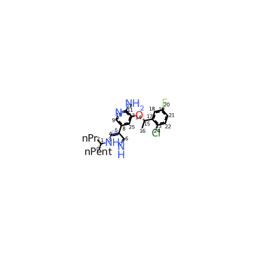 CCCCCC(CCC)N/C=C(\C=N)c1cnc(N)c(OC(C)c2cc(F)ccc2Cl)c1